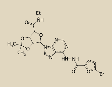 CCNC(=O)C1OC(n2cnc3c(NNC(=O)c4ccc(Br)o4)ncnc32)C2OC(C)(C)OC12